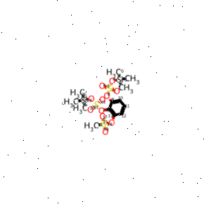 C[Si](C)(C)OS(=O)(=O)Oc1cccc(OS(C)(=O)=O)c1OS(=O)(=O)O[Si](C)(C)C